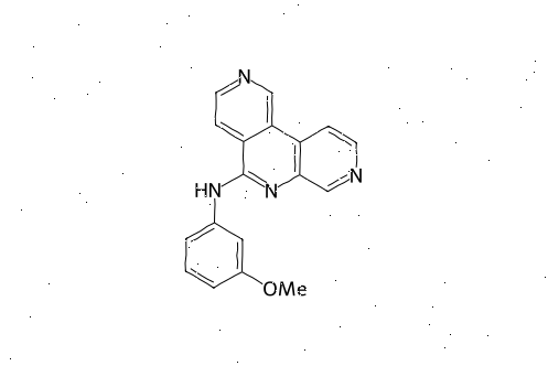 COc1cccc(Nc2nc3cnccc3c3cnccc23)c1